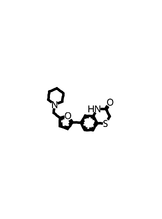 O=C1CSc2ccc(-c3ccc(CN4CCCCC4)o3)cc2N1